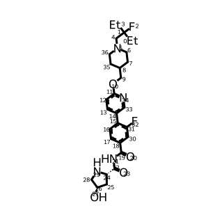 CCC(F)(CC)CN1CCC(COc2ccc(-c3ccc(C(=O)NC(=O)[C@@H]4C[C@@H](O)CN4)cc3F)cn2)CC1